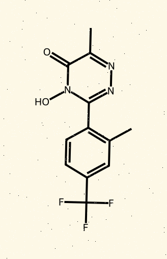 Cc1cc(C(F)(F)F)ccc1-c1nnc(C)c(=O)n1O